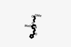 COC(=O)CCCOc1cnc(C=CC(=O)C2CCCC2)cc1OC